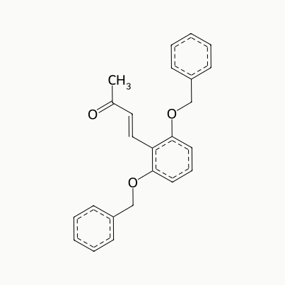 CC(=O)/C=C/c1c(OCc2ccccc2)cccc1OCc1ccccc1